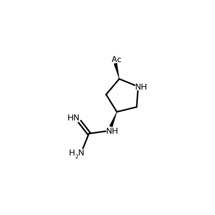 CC(=O)[C@@H]1C[C@H](NC(=N)N)CN1